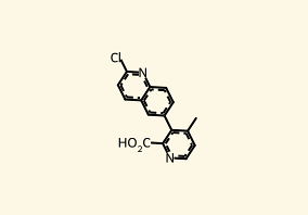 Cc1ccnc(C(=O)O)c1-c1ccc2nc(Cl)ccc2c1